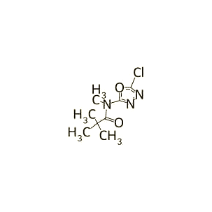 CN(C(=O)C(C)(C)C)c1nnc(Cl)o1